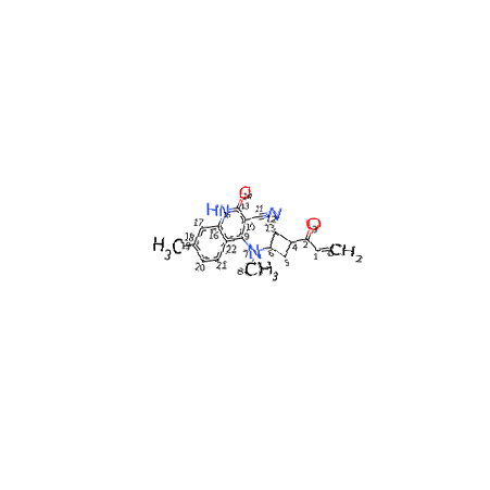 C=CC(=O)C1CC(N(C)c2c(C#N)c(=O)[nH]c3cc(C)ccc23)C1